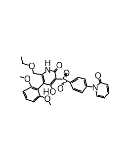 CCOCc1[nH]c(=O)c(S(=O)(=O)c2ccc(-n3ccccc3=O)cc2)c(O)c1-c1c(OC)cccc1OC